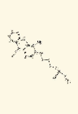 C=CC(=O)OCCCOc1ccc(C(=O)c2ccccc2)c(O)c1O